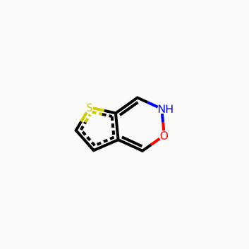 C1=c2ccsc2=CNO1